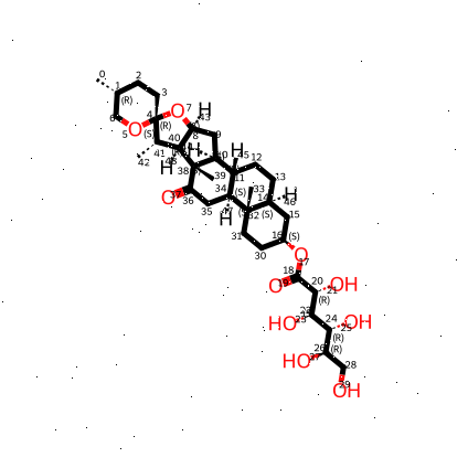 C[C@@H]1CC[C@@]2(OC1)O[C@H]1C[C@H]3[C@@H]4CC[C@H]5C[C@@H](OC(=O)[C@H](O)[C@@H](O)[C@H](O)[C@H](O)CO)CC[C@]5(C)[C@H]4CC(=O)[C@]3(C)[C@H]1[C@@H]2C